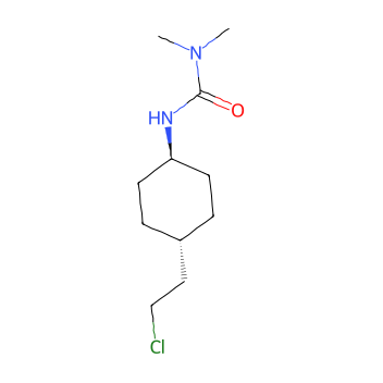 CN(C)C(=O)N[C@H]1CC[C@H](CCCl)CC1